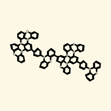 c1ccc2c(c1)Oc1cccc3c1N2c1cc(-c2ccc(N4c5ccccc5Sc5c(-c6cc7c8c(c6)B6c9cccc%10c9N(c9ccccc9S%10)c9cc(-c%10ccc(N%11c%12ccccc%12Sc%12ccccc%12%11)cc%10)cc(c96)N8c6ccccc6S7)cccc54)cc2)cc2c1B3c1cccc3c1N2c1ccccc1O3